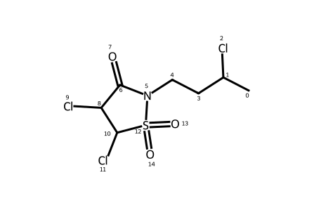 CC(Cl)CCN1C(=O)C(Cl)C(Cl)S1(=O)=O